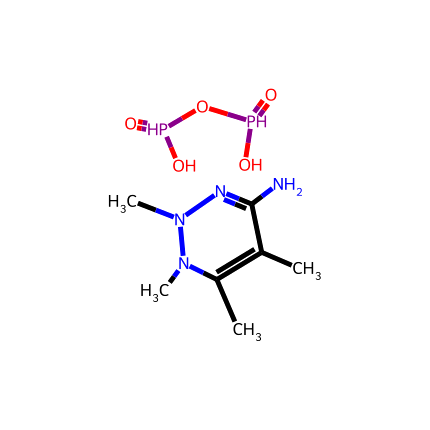 CC1=C(C)N(C)N(C)N=C1N.O=[PH](O)O[PH](=O)O